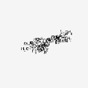 C=C/C=C(\C)[C@H](C[C@@H]1CC[C@@H](C)[C@](O)(C(=O)C(=O)N2CCCC[C@H]2C(=O)O[C@@H](CC(=O)[C@H](C)/C=C(\C)[C@@H](CC)[C@@H](OC)C(=O)[C@H](C)C[C@H](C)/C=C/C)[C@H](C)C[C@@H]2CC[C@@H](O)[C@H](OC)C2)O1)OC